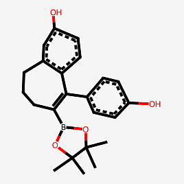 CC1(C)OB(C2=C(c3ccc(O)cc3)c3ccc(O)cc3CCC2)OC1(C)C